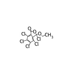 CCOC1(Cl)OC(=O)c2c(Cl)c(Cl)c(Cl)c(Cl)c21